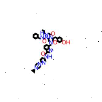 C=CCN1CC(=O)N2C(Cc3ccc(O)cc3)C(=O)N(Cc3cccc4c(C(=O)Nc5ccc(N6CCN(C7CC7)CC6)nc5)cn(C)c34)CC2N1C(=O)NCc1ccccc1